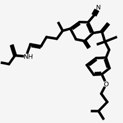 C=C(CC)N/C=C/CCC(C)C1=CC(C#N)=C(C(=C)C(C)(C)Cc2cccc(OCCC(C)C)c2)C(=C)C1